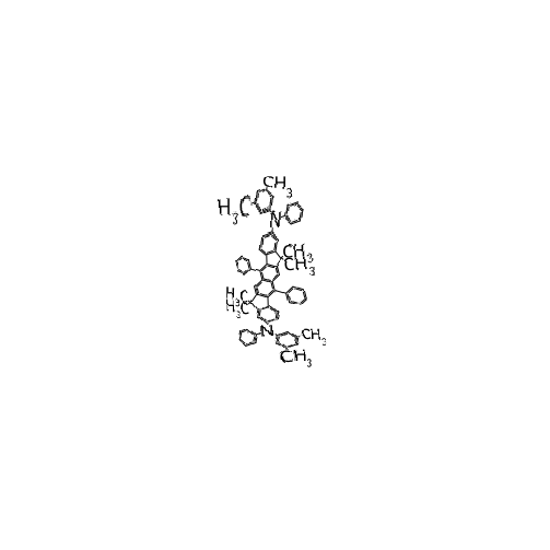 Cc1cc(C)cc(N(c2ccccc2)c2ccc3c(c2)C(C)(C)c2cc4c(-c5ccccc5)c5c(cc4c(-c4ccccc4)c2-3)C(C)(C)c2cc(N(c3ccccc3)c3cc(C)cc(C)c3)ccc2-5)c1